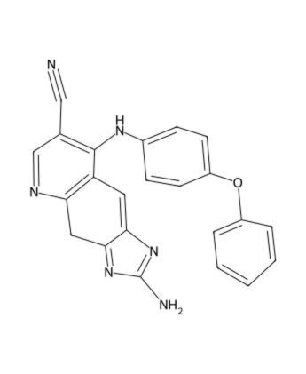 N#Cc1cnc2c(c1Nc1ccc(Oc3ccccc3)cc1)C=C1N=C(N)N=C1C2